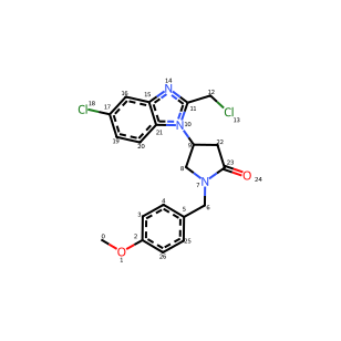 COc1ccc(CN2CC(n3c(CCl)nc4cc(Cl)ccc43)CC2=O)cc1